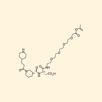 C=C(C)OC(=O)COCCOCCOCCOCCNC(=O)[C@H](CC(=O)O)NC(=O)[C@@H]1CCCN(C(=O)CCC2CCNCC2)C1